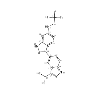 CC(F)(F)CNc1ncc2c(-c3ccc4ncc(C(F)F)n4c3)c[nH]c2n1